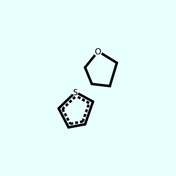 C1CCOC1.c1ccsc1